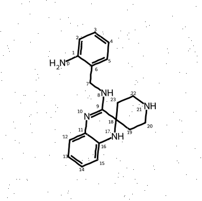 Nc1ccccc1CNC1=Nc2ccccc2NC12CCNCC2